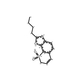 CCCCc1nc2ccc3c(c2o1)S(=O)(=O)CC=C3